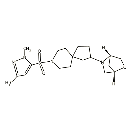 Cc1cc(S(=O)(=O)N2CCC3(CCC(N4C[C@@H]5C[C@H]4CO5)C3)CC2)n(C)n1